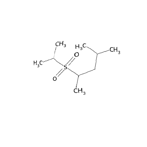 CC(C)CC(C)S(=O)(=O)C(C)C